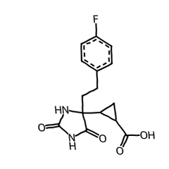 O=C1NC(=O)C(CCc2ccc(F)cc2)(C2CC2C(=O)O)N1